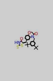 CC(C)(C)c1cc(CN2C(=O)COc3ccc(/C=C4/SC(=S)NC4=O)cc32)cc(C(C)(C)C)c1